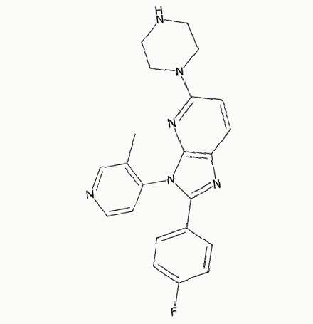 Cc1cnccc1-n1c(-c2ccc(F)cc2)nc2ccc(N3CCNCC3)nc21